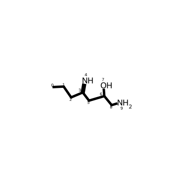 CCCC(=N)CC(O)CN